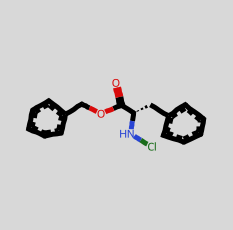 O=C(OCc1ccccc1)[C@H](Cc1ccccc1)NCl